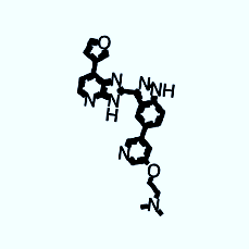 CN(C)CCOc1cncc(-c2ccc3[nH]nc(-c4nc5c(-c6ccoc6)ccnc5[nH]4)c3c2)c1